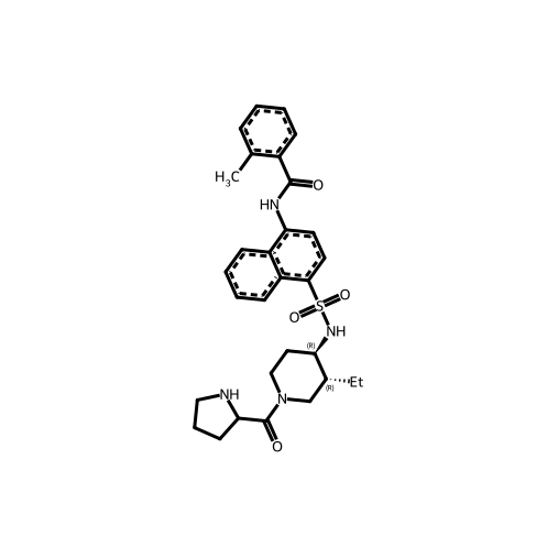 CC[C@@H]1CN(C(=O)C2CCCN2)CC[C@H]1NS(=O)(=O)c1ccc(NC(=O)c2ccccc2C)c2ccccc12